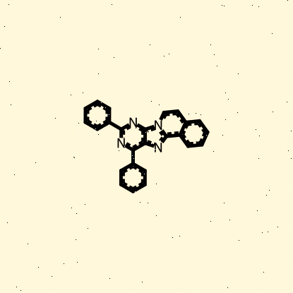 c1ccc(-c2nc(-c3ccccc3)c3nc4c5ccccc5ccn4c3n2)cc1